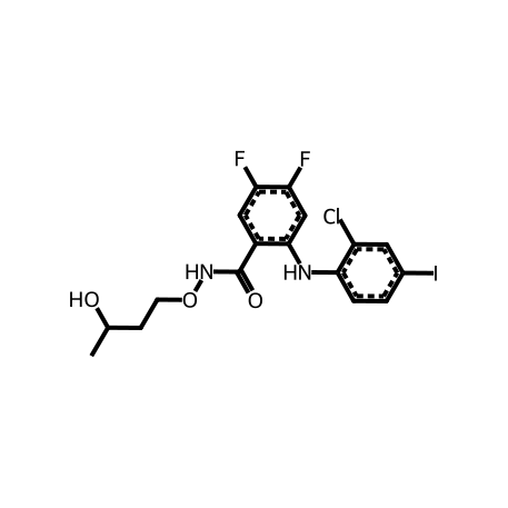 CC(O)CCONC(=O)c1cc(F)c(F)cc1Nc1ccc(I)cc1Cl